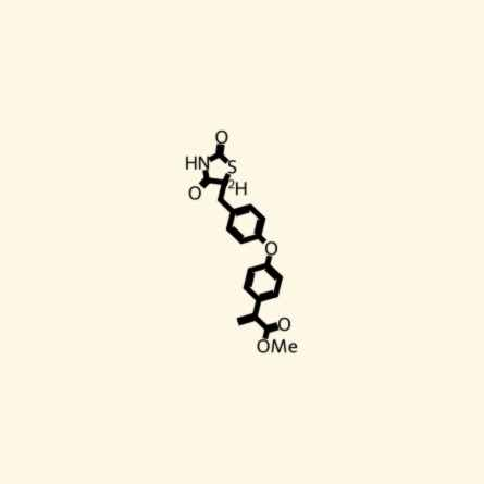 [2H]C1(Cc2ccc(Oc3ccc(C(=C)C(=O)OC)cc3)cc2)SC(=O)NC1=O